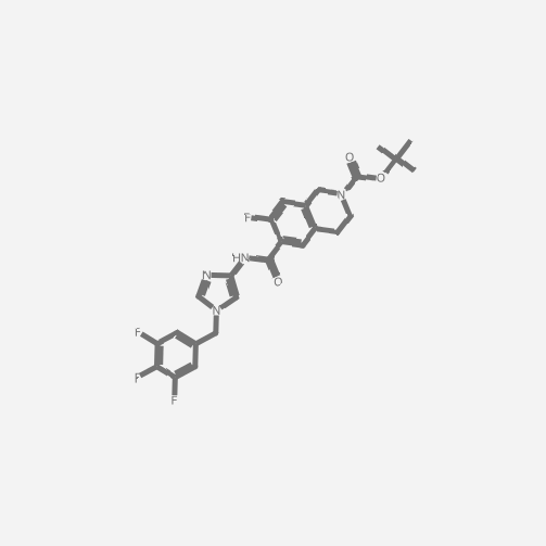 CC(C)(C)OC(=O)N1CCc2cc(C(=O)Nc3cn(Cc4cc(F)c(F)c(F)c4)cn3)c(F)cc2C1